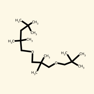 CC(C)(C)COCC(C)(C)COCC(C)(C)CC(C)(C)C